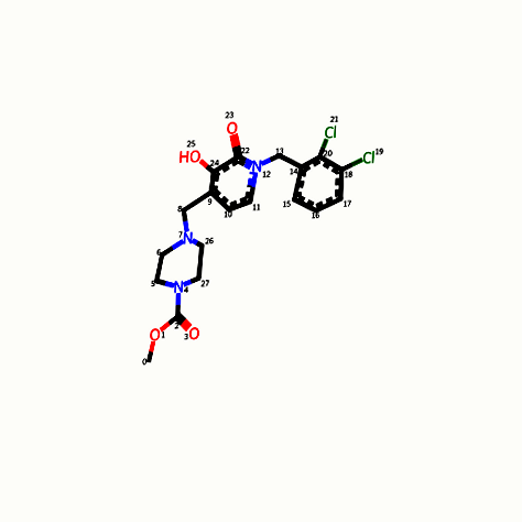 COC(=O)N1CCN(Cc2ccn(Cc3cccc(Cl)c3Cl)c(=O)c2O)CC1